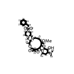 CO[C@]1(C)C[C@@H](C)CN(C)[C@@H](CN2CCN(S(=O)(=O)Cc3ccccc3)CC2)[C@H](C)OC(=O)C(C)(C)C(=O)[C@H](C)[C@H]1O[C@@H]1O[C@H](C)C[C@H](N(C)C)[C@H]1O